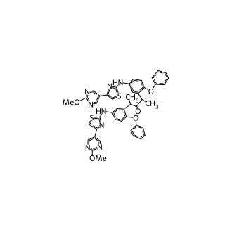 COc1ncc(-c2csc(Nc3ccc(Oc4ccccc4)c(C(C)C(=O)C(C)c4cc(Nc5nc(-c6cnc(OC)nc6)cs5)ccc4Oc4ccccc4)c3)n2)cn1